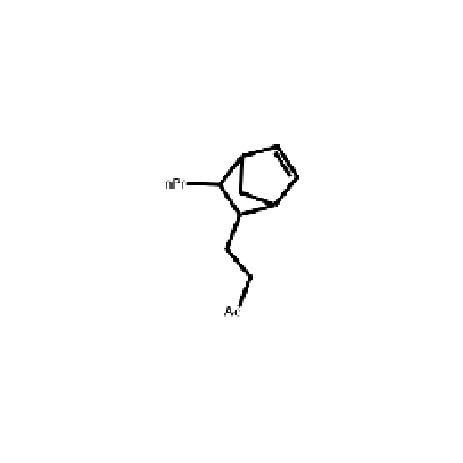 CCCC1C2C=CC(C2)C1CCC(C)=O